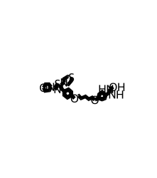 N=C(NO)c1ccc(OCCCCCOc2ccc(-c3nc(N4CCOCC4)sc3N3CCSCC3)cc2)cc1